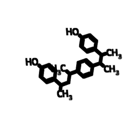 CC(CC(C)c1ccc(C(C)C(C)c2ccc(O)cc2)cc1)c1ccc(O)cc1